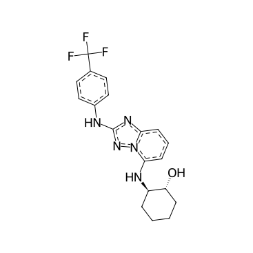 O[C@@H]1CCCC[C@H]1Nc1cccc2nc(Nc3ccc(C(F)(F)F)cc3)nn12